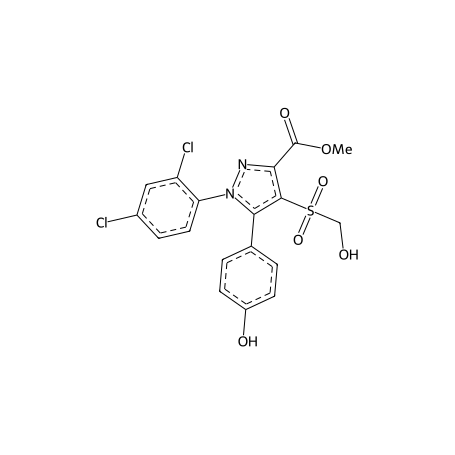 COC(=O)c1nn(-c2ccc(Cl)cc2Cl)c(-c2ccc(O)cc2)c1S(=O)(=O)CO